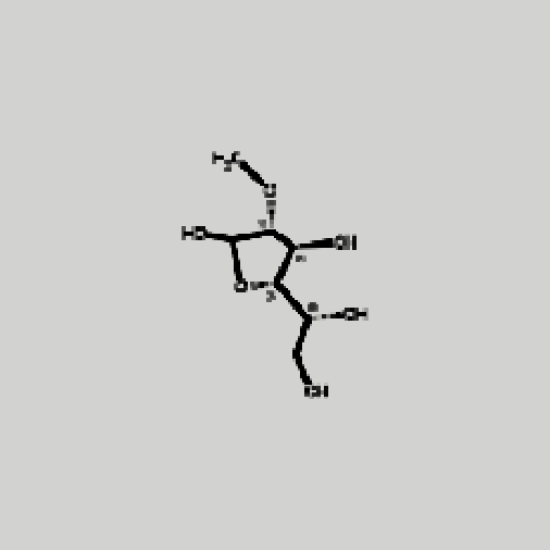 CO[C@H]1C(O)O[C@@H]([C@H](O)CO)[C@@H]1O